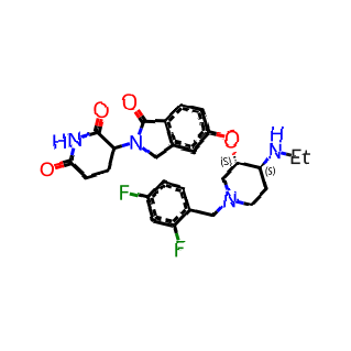 CCN[C@H]1CCN(Cc2ccc(F)cc2F)C[C@@H]1Oc1ccc2c(c1)CN(C1CCC(=O)NC1=O)C2=O